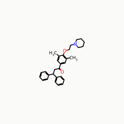 Cc1cc(C(=O)CC(c2ccccc2)c2ccccc2)cc(C)c1OCCN1CCCCC1